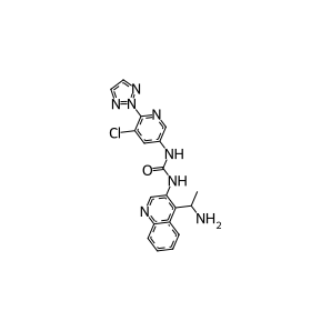 CC(N)c1c(NC(=O)Nc2cnc(-n3nccn3)c(Cl)c2)cnc2ccccc12